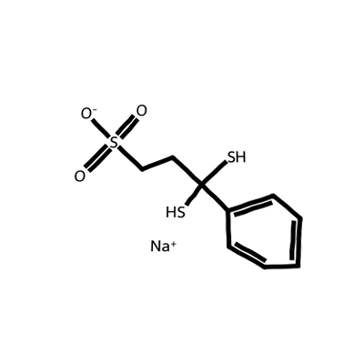 O=S(=O)([O-])CCC(S)(S)c1ccccc1.[Na+]